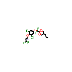 CCCC1COC(C(F)(F)Oc2cc(F)c(O/C=C/C(F)F)c(Cl)c2)OC1